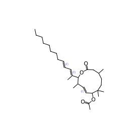 CCCCCCCC/C=C/C=C(\C)C1OC(=O)CC(C)CCC(C)(C)C(OC(C)=O)/C=C/C1C